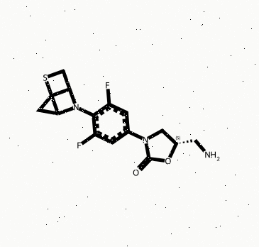 NC[C@H]1CN(c2cc(F)c(N3C4CSC45CC35)c(F)c2)C(=O)O1